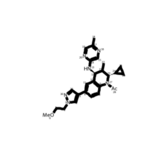 COCCn1cc(-c2ccc3c(c2)[C@@H](Nc2cnc(C)cn2)C(C)[C@H](C2CC2)N3C(C)=O)cn1